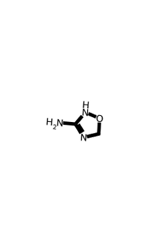 NC1=NCON1